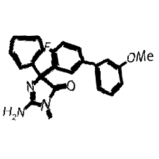 COc1cccc(-c2ccc(F)c(C3(c4ccccc4)N=C(N)N(C)C3=O)c2)c1